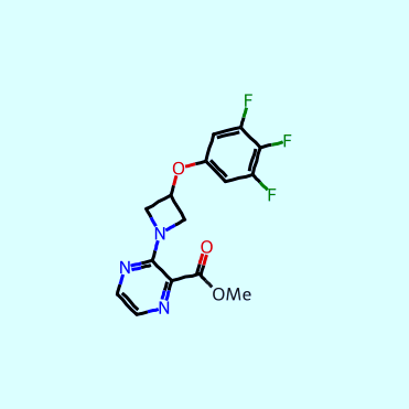 COC(=O)c1nccnc1N1CC(Oc2cc(F)c(F)c(F)c2)C1